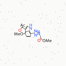 COC(=O)Cn1nnc(-c2ccc(OC)c3c(C(=O)C(C)=O)c[nH]c23)n1